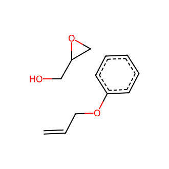 C=CCOc1ccccc1.OCC1CO1